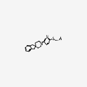 c1ccc2c(c1)CC1(CCN(c3ccc(SCC4CC4)nc3)CC1)C2